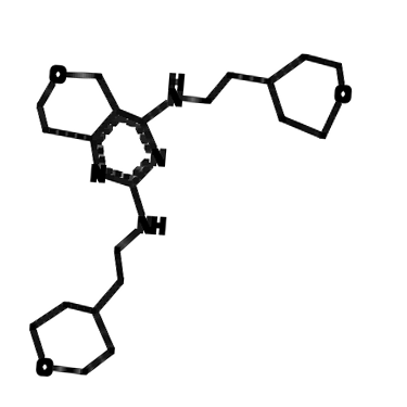 C(CC1CCOCC1)Nc1nc2c(c(NCCC3CCOCC3)n1)COCC2